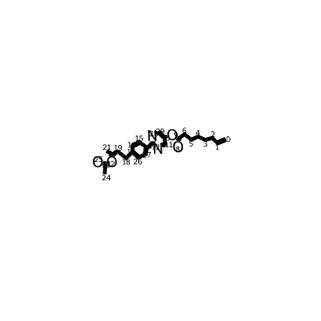 C=CCCCCCC(=O)Oc1cnc(-c2ccc(CCC(C)OC(C)=O)cc2)nc1